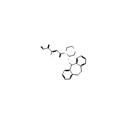 C=CC(=O)/C(O)=C/C(=O)N1CCOC[C@H]1NC1c2ccccc2CCc2ccccc21